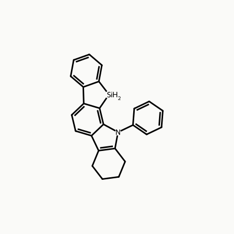 c1ccc(-n2c3c(c4ccc5c(c42)[SiH2]c2ccccc2-5)CCCC3)cc1